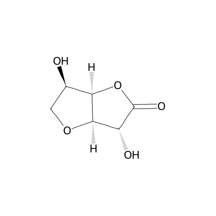 O=C1O[C@H]2[C@H](OC[C@H]2O)[C@H]1O